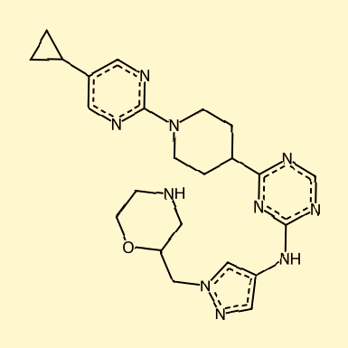 c1nc(Nc2cnn(CC3CNCCO3)c2)nc(C2CCN(c3ncc(C4CC4)cn3)CC2)n1